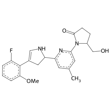 COc1cccc(F)c1C1=CNC(c2cc(C)cc(N3C(=O)CCC3CO)n2)C1